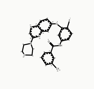 O=C(Nc1ccc(F)c(Oc2ccc3ncc(N4CCOCC4)nc3c2)c1)c1cccc(C(F)(F)F)c1